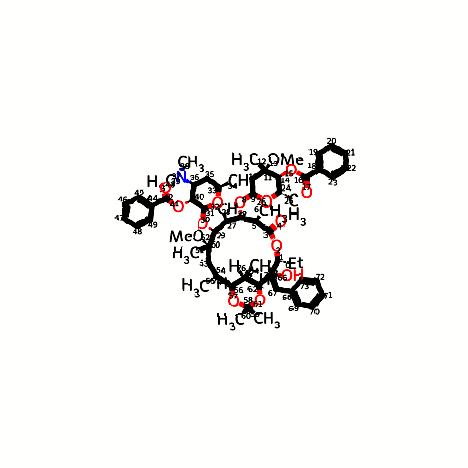 CC[C@H]1OC(=O)[C@H](C)[C@@H](OC2C[C@@](C)(OC)[C@@H](OC(=O)c3ccccc3)[C@H](C)O2)[C@H](C)[C@@H](OC2O[C@H](C)C[C@H](N(C)C)[C@H]2OC(=O)c2ccccc2)[C@@](C)(OC)C[C@@H](C)[C@@H]2OC(C)(C)O[C@H]([C@H]2C)[C@@]1(O)Cc1ccccc1